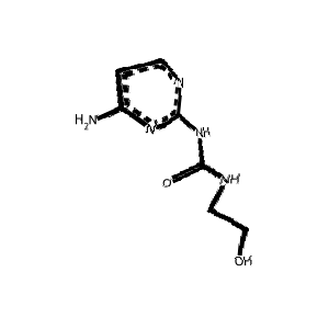 Nc1ccnc(NC(=O)NCCO)n1